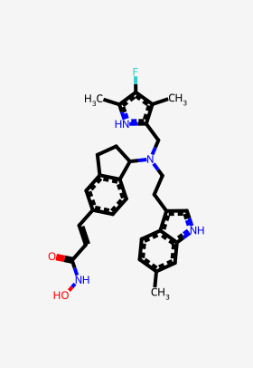 Cc1ccc2c(CCN(Cc3[nH]c(C)c(F)c3C)C3CCc4cc(C=CC(=O)NO)ccc43)c[nH]c2c1